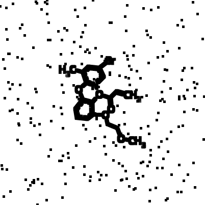 C=CC(=O)Oc1c(OCCOC)cccc1Oc1ncc(Br)cc1C